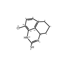 SC1=NC2CCCc3ccc(Cl)c(c32)N1